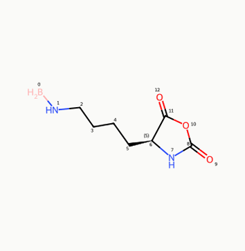 BNCCCC[C@@H]1NC(=O)OC1=O